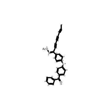 CC#CC#CC#CC(=NOC(C)=O)c1ccc(Sc2ccc(C(=O)c3ccccc3)cc2)cc1